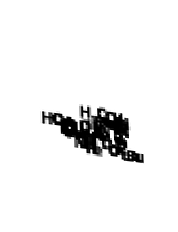 CC(C)(C)C(=O)OCn1nnnc1C1N2C(=O)C(NC(=O)C(N)c3ccc(O)cc3)[C@@H]2SC1(C)C